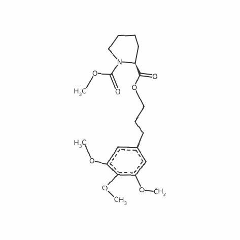 COC(=O)N1CCCC[C@H]1C(=O)OCCCc1cc(OC)c(OC)c(OC)c1